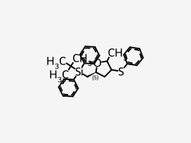 CC1O[C@H](C[Si](c2ccccc2)(c2ccccc2)C(C)(C)C)CC1Sc1ccccc1